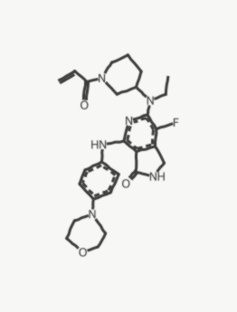 C=CC(=O)N1CCCC(N(CC)c2nc(Nc3ccc(N4CCOCC4)cc3)c3c(c2F)CNC3=O)C1